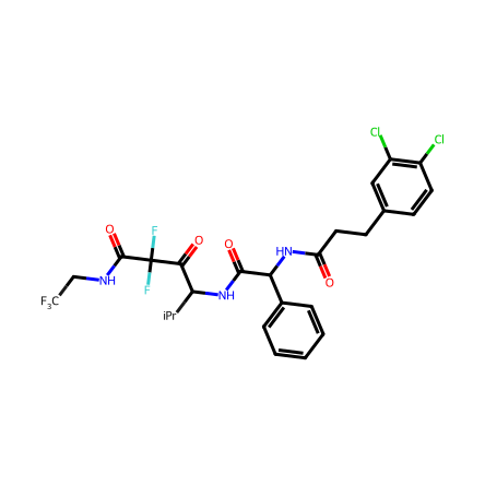 CC(C)C(NC(=O)C(NC(=O)CCc1ccc(Cl)c(Cl)c1)c1ccccc1)C(=O)C(F)(F)C(=O)NCC(F)(F)F